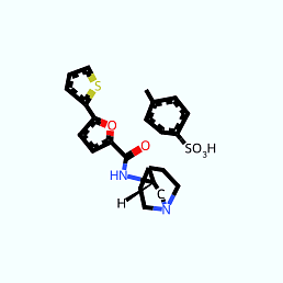 Cc1ccc(S(=O)(=O)O)cc1.O=C(N[C@H]1CN2CCC1CC2)c1ccc(-c2cccs2)o1